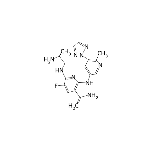 C=C(N)c1cc(F)c(NC[C@H](C)N)nc1Nc1cnc(C)c(-n2nccn2)c1